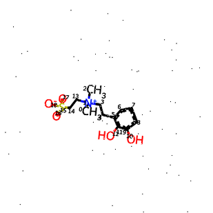 C[N+](C)(CCc1cccc(O)c1O)CCS(=O)(=O)[O-]